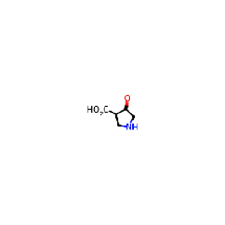 O=C(O)C1CNCC1=O